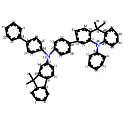 CC1(C)c2ccccc2-c2ccc(N(c3ccc(-c4ccccc4)cc3)c3ccc(-c4ccc5c(c4)N(c4ccccc4)c4ccccc4C5(C)C)cc3)cc21